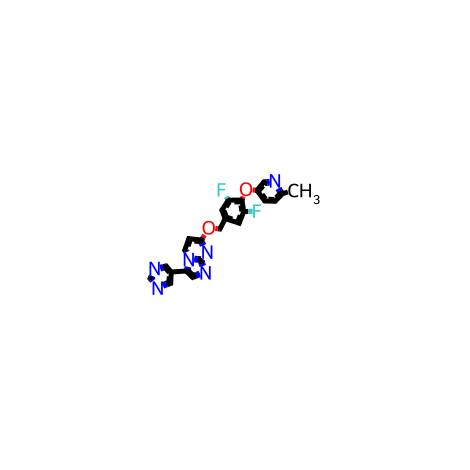 Cc1ccc(Oc2c(F)cc(COc3ccn4c(-c5cncnc5)cnc4n3)cc2F)cn1